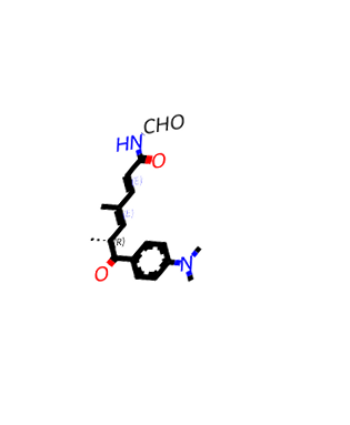 CC(/C=C/C(=O)NC=O)=C\[C@@H](C)C(=O)c1ccc(N(C)C)cc1